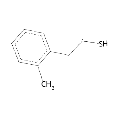 Cc1ccccc1C[CH]S